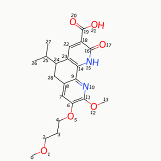 COCCCOc1cc2c(nc1OC)-c1[nH]c(=O)c(C(=O)O)cc1C(C(C)C)C2